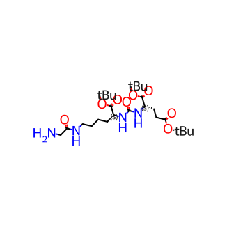 CC(C)(C)OC(=O)CC[C@H](NC(=O)N[C@@H](CCCCNC(=O)CN)C(=O)OC(C)(C)C)C(=O)OC(C)(C)C